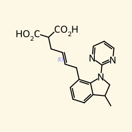 CC1CN(c2ncccn2)c2c(C/C=C/CC(C(=O)O)C(=O)O)cccc21